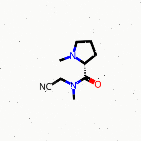 CN(CC#N)C(=O)[C@H]1CCCN1C